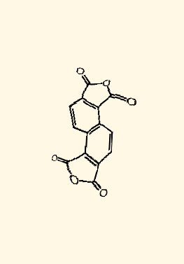 O=c1oc(=O)c2c1ccc1c2ccc2c(=O)oc(=O)c21